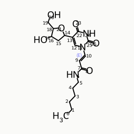 CCCCCCNC(=O)/C=C/n1cc(C2CC(O)C(CO)O2)c(=O)[nH]c1=O